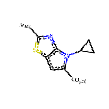 CCOC(=O)c1cc2sc(SC)nc2n1C1CC1